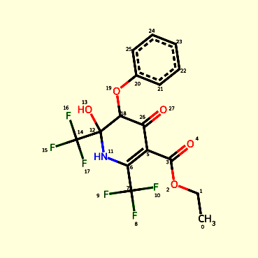 CCOC(=O)C1=C(C(F)(F)F)NC(O)(C(F)(F)F)C(Oc2ccccc2)C1=O